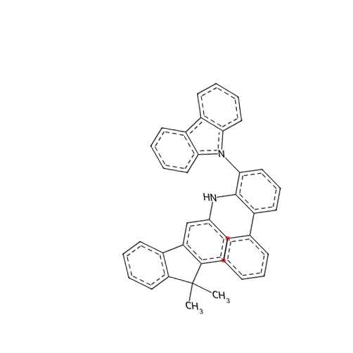 CC1(C)c2ccccc2-c2cc(Nc3c(-c4ccccc4)cccc3-n3c4ccccc4c4ccccc43)ccc21